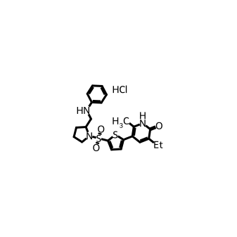 CCc1cc(-c2ccc(S(=O)(=O)N3CCCC3CNc3ccccc3)s2)c(C)[nH]c1=O.Cl